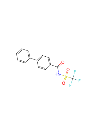 O=C(NS(=O)(=O)C(F)(F)F)c1ccc(-c2ccccc2)cc1